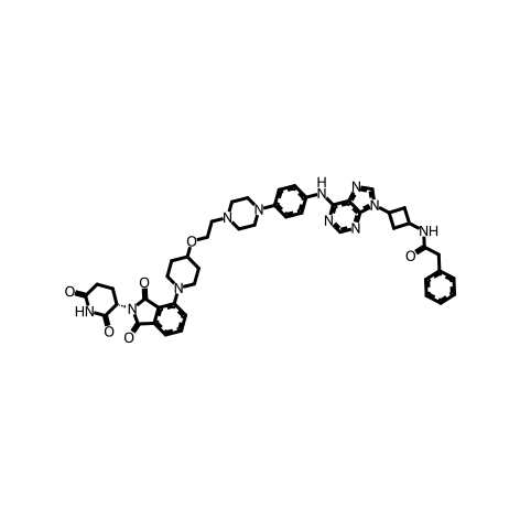 O=C1CC[C@H](N2C(=O)c3cccc(N4CCC(OCCN5CCN(c6ccc(Nc7ncnc8c7ncn8C7CC(NC(=O)Cc8ccccc8)C7)cc6)CC5)CC4)c3C2=O)C(=O)N1